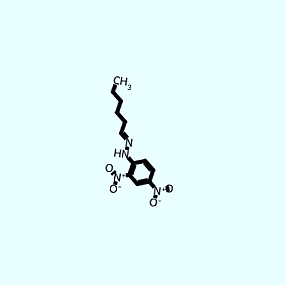 CCCCCC=NNc1ccc([N+](=O)[O-])cc1[N+](=O)[O-]